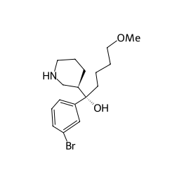 COCCCC[C@@](O)(c1cccc(Br)c1)[C@@H]1CCCNC1